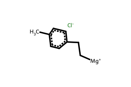 Cc1ccc(C[CH2][Mg+])cc1.[Cl-]